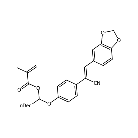 C=C(C)C(=O)OC(CCCCCCCCCC)Oc1ccc(/C(C#N)=C/c2ccc3c(c2)OCO3)cc1